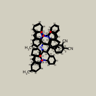 Cc1ccc2c(c1)c1ccccc1n2-c1ccccc1-c1nc(-c2ccccc2)c(-c2ccccc2-n2c3ccccc3c3cc(C)ccc32)c(-c2ccc(C#N)c(C#N)c2)c1-c1ccccc1-n1c2ccccc2c2cc(C)ccc21